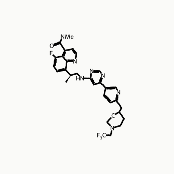 CNC(=O)c1ccnc2c([C@H](C)CNc3cc(-c4ccc(CC5CCN(CC(F)(F)F)CC5)nc4)ncn3)ccc(F)c12